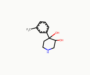 OC1CNCCC1(O)c1cccc(C(F)(F)F)c1